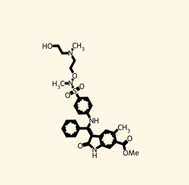 COC(=O)c1cc2c(cc1C)C(=C(Nc1ccc(S(=O)(=O)N(C)OCCN(C)CCO)cc1)c1ccccc1)C(=O)N2